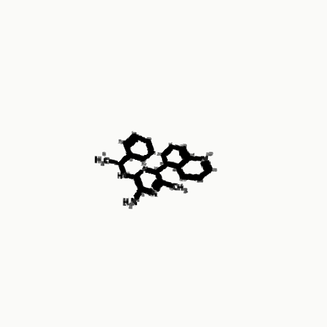 Cc1nc(N)c(N[C@@H](C)c2ccccc2)nc1-c1cccc2ncccc12